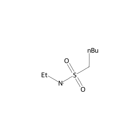 CCCCCS(=O)(=O)[N]CC